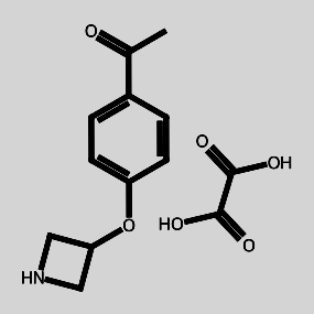 CC(=O)c1ccc(OC2CNC2)cc1.O=C(O)C(=O)O